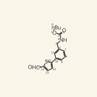 CCCCOC(=O)NCc1cccc(-c2ccc(C=O)s2)c1